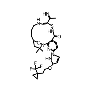 CC(=N)/C1=C\NCCCC2CN(c3nc(N4C=CC(OCCC5(C(F)(F)F)CC5)N4)ccc3C(=O)NS1)C(C)(C)C2